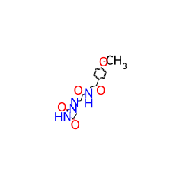 COc1ccc(C(=O)CNC(=O)C=NN2CC(=O)NC2=O)cc1